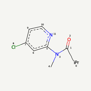 CC(C)C(=O)N(C)c1cc(Cl)ccn1